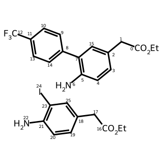 CCOC(=O)Cc1ccc(N)c(-c2ccc(C(F)(F)F)cc2)c1.CCOC(=O)Cc1ccc(N)c(I)c1